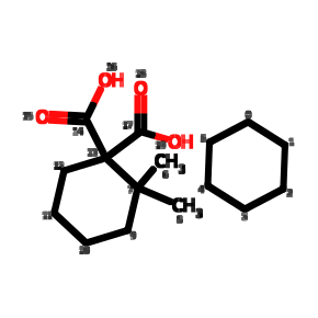 C1CCCCC1.CC1(C)CCCCC1(C(=O)O)C(=O)O